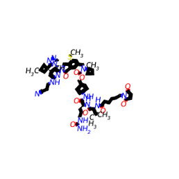 CSc1cc(CN(C(=O)OCc2ccc(NC(=O)[C@H](CCCNC(N)=O)NC(=O)[C@@H](NC(=O)CCCCCN3C(=O)C=CC3=O)C(C)C)cc2)C2(C)CCC2)cc2c1CN(c1cc([C@]3(c4nncn4C)C[C@@H](C)C3)cc(NCCC#N)n1)C2=O